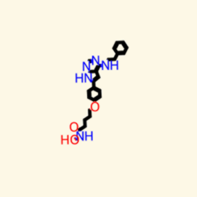 O=C(CCCCOc1ccc(-c2cc3c(NCCc4ccccc4)ncnc3[nH]2)cc1)NO